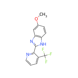 COc1ccc2[nH]c(-c3ncccc3C(F)(F)F)nc2c1